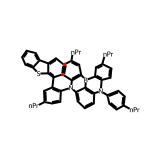 CCCc1ccc(N2c3ccc(CCC)cc3B3c4cc(CCC)ccc4N(c4ccc(CCC)cc4-c4cccc5c4sc4ccccc45)c4cccc2c43)cc1